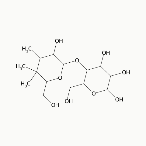 CC1C(O)C(OC2C(CO)OC(O)C(O)C2O)OC(CO)C1(C)C